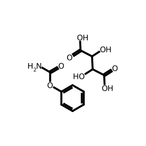 NC(=O)Oc1ccccc1.O=C(O)C(O)C(O)C(=O)O